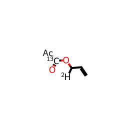 [2H]C(C=C)O[13C](=O)C(C)=O